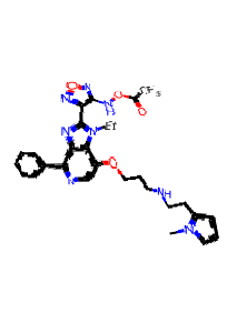 CCn1c(-c2nonc2NOC(=O)C(F)(F)F)nc2c(-c3ccccc3)ncc(OCCCNCCc3cccn3C)c21